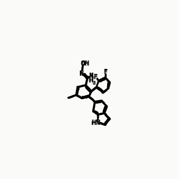 Cc1cc(C(N)=NO)c(-c2cccc(F)c2F)c(-c2ccc3cc[nH]c3c2)c1